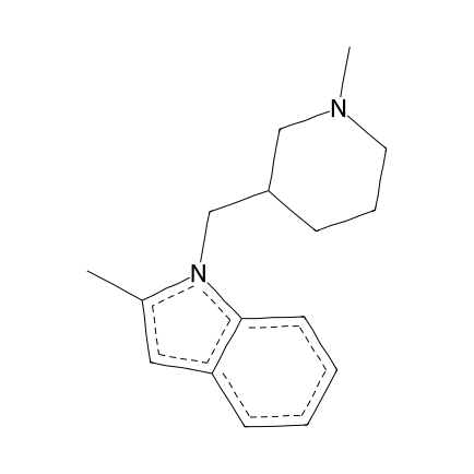 Cc1cc2ccccc2n1CC1CCCN(C)C1